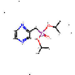 CC(C)OP(=O)(Cc1cn[c]cn1)OC(C)C